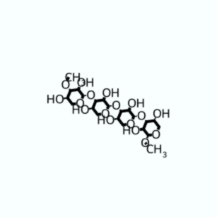 CO[C@@H]1OC[C@@H](O)[C@@H](O[C@@H]2OC[C@@H](O)[C@@H](O[C@@H]3OC[C@@H](O)[C@@H](O[C@@H]4OC[C@@H](O)[C@@H](OC)C4O)C3O)C2O)C1O